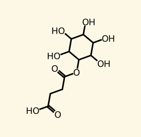 O=C(O)CCC(=O)OC1C(O)C(O)C(O)C(O)C1O